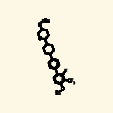 CCCCOC1CCC(C2CCC(c3ccc(-c4ccc(OCC)c(C(F)(F)F)c4F)cc3)CC2)OC1